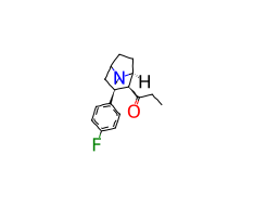 CCC(=O)[C@H]1[C@@H](c2ccc(F)cc2)CC2CC[C@@H]1N2C